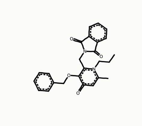 CCCn1c(C)cc(=O)c(OCc2ccccc2)c1CN1C(=O)c2ccccc2C1=O